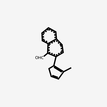 CC1=C(c2ccc3ccccc3c2C=O)CC=C1